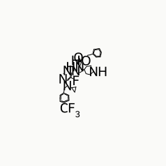 O=C(NC1(CNc2ncnc(N(Cc3ccc(C(F)(F)F)cc3)C3CC3)c2F)CCNCC1)OCc1ccccc1